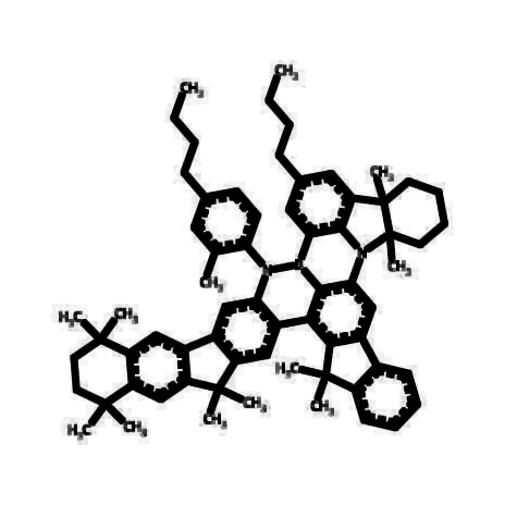 CCCCc1ccc(N2B3c4cc(CCCC)cc5c4N(c4cc6c(c(c43)-c3cc4c(cc32)-c2cc3c(cc2C4(C)C)C(C)(C)CCC3(C)C)C(C)(C)c2ccccc2-6)C2(C)CCCCC52C)c(C)c1